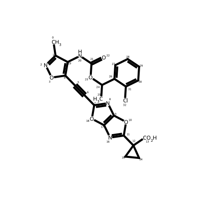 Cc1noc(C#Cc2nc3oc(C4(C(=O)O)CC4)nc3o2)c1NC(=O)OC(C)c1ccccc1Cl